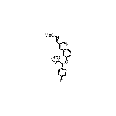 CO/N=C/c1cnc2ccc(O[C@H](c3ccc(F)cn3)c3nnco3)cc2c1